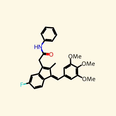 COc1cc(C=C2C(C)=C(CC(=O)Nc3ccccc3)c3cc(F)ccc32)cc(OC)c1OC